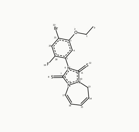 CCOc1cc(-n2c(=S)n3n(c2=S)CC=CC=C3)c(F)cc1Br